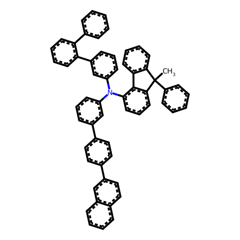 CC1(c2ccccc2)c2ccccc2-c2c(N(c3cccc(-c4ccc(-c5ccc6ccccc6c5)cc4)c3)c3cccc(-c4ccccc4-c4ccccc4)c3)cccc21